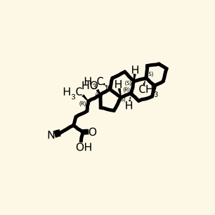 C[C@H](CCC(C#N)C(=O)O)[C@@]1(O)CC[C@H]2[C@@H]3CCC4CCCC[C@]4(C)[C@H]3CC[C@@]21C